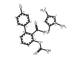 Cc1cc(F)n(C)n1.NC(=O)c1c(OC(=O)O)cccc1-c1ccc(Cl)cc1